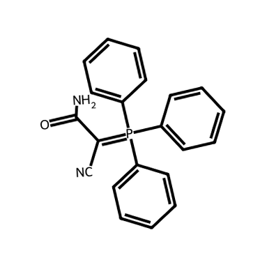 N#CC(C(N)=O)=P(c1ccccc1)(c1ccccc1)c1ccccc1